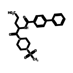 CS(=O)(=O)N1CCN(C(=O)C(CCC(=O)O)NC(=O)c2ccc(-c3ccccc3)cc2)CC1